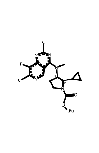 CN(c1nc(Cl)nc2c(F)c(Cl)ncc12)[C@@H]1CCN(C(=O)OC(C)(C)C)[C@@H]1C1CC1